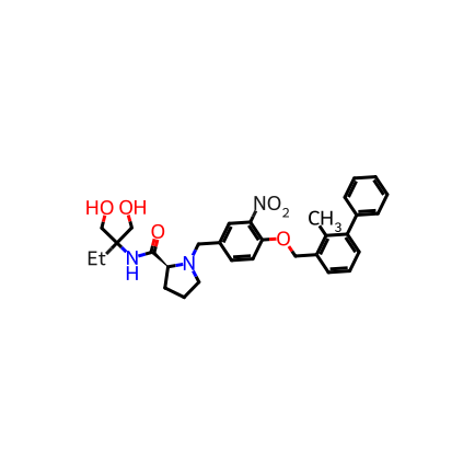 CCC(CO)(CO)NC(=O)[C@@H]1CCCN1Cc1ccc(OCc2cccc(-c3ccccc3)c2C)c([N+](=O)[O-])c1